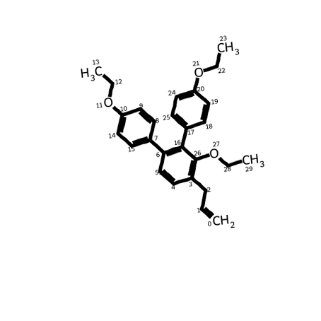 C=CCc1c[c]c(-c2ccc(OCC)cc2)c(-c2ccc(OCC)cc2)c1OCC